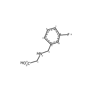 O=C(O)CNCc1cccc(F)c1